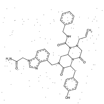 C=CCN1CC(=O)N2C(Cc3ccc(O)cc3)C(=O)N(Cc3cccc4c3ncn4CC(N)=O)CC2N1C(=O)NCc1ccccc1